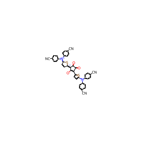 N#Cc1ccc(N(c2ccc(C#N)cc2)c2ccc(C3=C([O-])/C(=C4\C=CC(=[N+](c5ccc(C#N)cc5)c5ccc(C#N)cc5)S4)C(=O)C3=O)s2)cc1